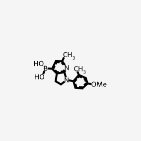 COc1ccc(N2CCc3c(B(O)O)cc(C)nc32)c(C)c1